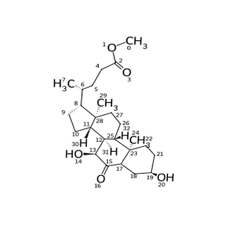 COC(=O)CC[C@@H](C)[C@H]1CC[C@H]2[C@@H]3[C@H](O)C(=O)C4C[C@H](O)CC[C@]4(C)[C@H]3CC[C@]12C